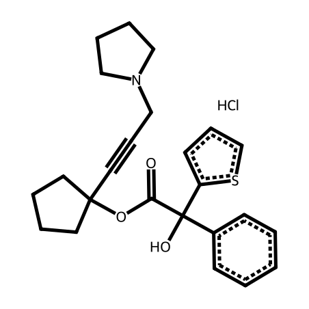 Cl.O=C(OC1(C#CCN2CCCC2)CCCC1)C(O)(c1ccccc1)c1cccs1